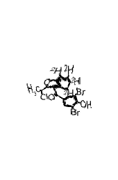 [2H]c1c([2H])c([2H])c2c(C(=O)c3cc(Br)c(O)c(Br)c3)c(C(C)Cl)oc2c1[2H]